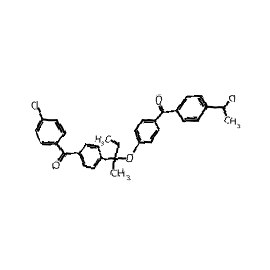 CCC(C)(Oc1ccc(C(=O)c2ccc(C(C)Cl)cc2)cc1)c1ccc(C(=O)c2ccc(Cl)cc2)cc1